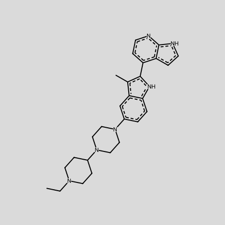 CCN1CCC(N2CCN(c3ccc4[nH]c(-c5ccnc6[nH]ccc56)c(C)c4c3)CC2)CC1